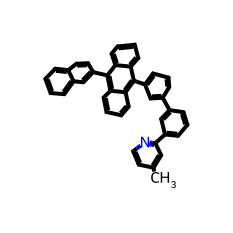 Cc1ccnc(-c2cccc(-c3cccc(-c4c5ccccc5c(-c5ccc6ccccc6c5)c5ccccc45)c3)c2)c1